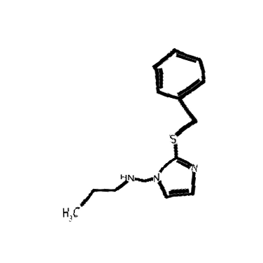 CCCNn1ccnc1SCc1ccccc1